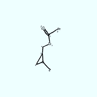 CC(C)C(=O)OCC1CC1C